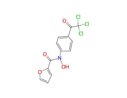 O=C(c1ccco1)N(O)c1ccc(C(=O)C(Cl)(Cl)Cl)cc1